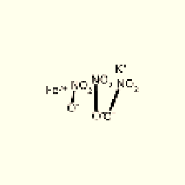 O=[N+]([O-])[O-].O=[N+]([O-])[O-].O=[N+]([O-])[O-].[Fe+2].[K+]